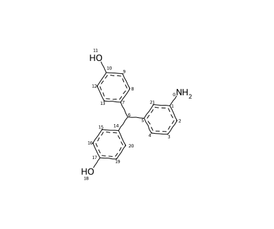 Nc1cccc(C(c2ccc(O)cc2)c2ccc(O)cc2)c1